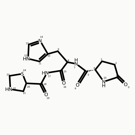 O=C1CC[C@@H](C(=O)NC(Cc2c[nH]cn2)C(=O)NC(=O)C2CNCS2)N1